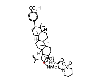 C=C(C)[C@H]1CC[C@]2(CNC(=O)CN3CCCCS3(=O)=O)CCC3(C)[C@@H](CC[C@@H]4[C@@]5(C)CC=C(c6ccc(C(=O)O)cc6)C(C)(C)[C@@H]5CC[C@]43C)[C@]12C(=O)CNC